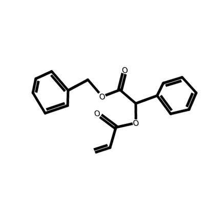 C=CC(=O)OC(C(=O)OCc1ccccc1)c1ccccc1